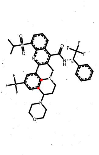 CC(C)S(=O)(=O)c1cccc2c(C(=O)N[C@@H](c3ccccc3)C(F)(F)F)c(CN3CCC(N4CCOCC4)CC3)c(-c3cccc(C(F)(F)F)c3)nc12